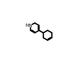 C1=CCC(C2=CCNC=C2)CC1